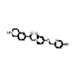 O=C(Cn1ccc(OCc2ccc(Br)cn2)cc1=O)c1ccc2c(c1)CCNC2